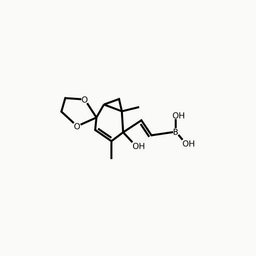 CC1=CC2(OCCO2)C2CC2(C)C1(O)/C=C/B(O)O